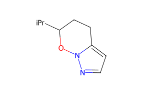 CC(C)C1CCc2ccnn2O1